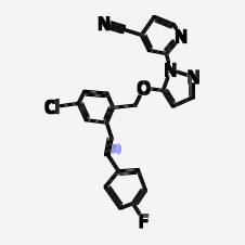 N#Cc1ccnc(-n2nccc2OCc2ccc(Cl)cc2/C=C/c2ccc(F)cc2)c1